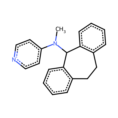 CN(c1ccncc1)C1c2ccccc2CCc2ccccc21